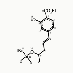 CCOC(=O)c1ccc(C=CCC(C)O[Si](C)(C)C(C)(C)C)cc1CC